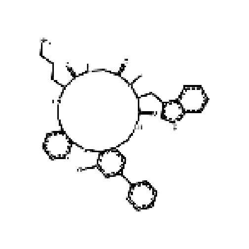 CN1C(=O)CNC(=O)C(CCCN)NCc2cccnc2Sc2c(Cl)cc(-c3ccccc3)cc2CNC(=O)C1Cc1c[nH]c2ccccc12